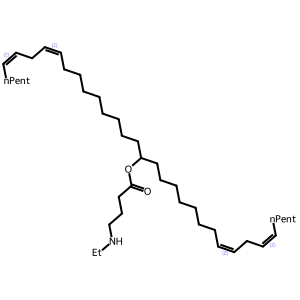 CCCCC/C=C\C/C=C\CCCCCCCCC(CCCCCCC/C=C\C/C=C\CCCCC)OC(=O)CCCNCC